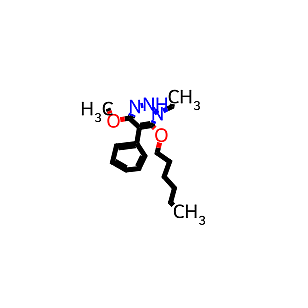 CCCCCCOC1=C(c2ccccc2)C(OC)=NNN1CC